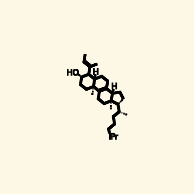 C/C=C(\C)C1[C@@H](O)CC[C@]2(C)C3=C(CC[C@@H]12)[C@@H]1CC[C@H]([C@H](C)CCCC(C)C)[C@@]1(C)CC3